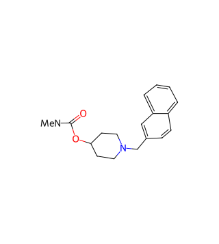 CNC(=O)OC1CCN(Cc2ccc3ccccc3c2)CC1